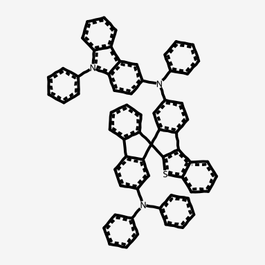 c1ccc(N(c2ccccc2)c2ccc3c(c2)C2(c4ccccc4-3)c3cc(N(c4ccccc4)c4ccc5c(c4)c4ccccc4n5-c4ccccc4)ccc3-c3c2sc2ccccc32)cc1